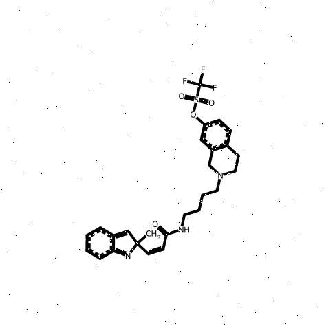 CC1(/C=C\C(=O)NCCCCN2CCc3ccc(OS(=O)(=O)C(F)(F)F)cc3C2)C=c2ccccc2=N1